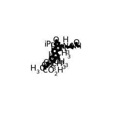 CC(C)C1=C2[C@H]3CC[C@@H]4[C@@]5(C)CC[C@H](OC(=O)CC(C)(C)C(=O)O)C(C)(C)[C@@H]5CC[C@@]4(C)[C@]3(C)CC[C@@]2(CCNCC2CN(C(=O)CI)C2)CC1=O